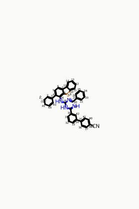 C[C@@H]1C=C(c2ccc3c(sc4ccccc43)c2NC(/N=C/c2ccccc2)NC(=N)c2cccc(-c3ccc(C#N)cc3)c2)C=CC1